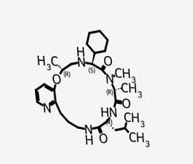 CC(C)C[C@H]1NC(=O)[C@@H](C)N(C)C(=O)[C@H](C2CCCCC2)NC[C@@H](C)Oc2cccnc2CCCNC1=O